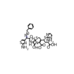 Nc1nc(/C(=N/OCc2ccccc2)C(=O)N[C@H]2C(=O)N3C(C(=O)O)=C(C(CCC(=O)O)SC4(N)N=CC=N4)CS[C@@H]23)cs1